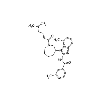 Cc1cccc(C(=O)Nc2nc3cccc(C)c3n2C2CCCCN(C(=O)C=CCN(C)C)C2)c1